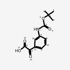 CC(C)(C)OC(=O)Nc1cccc(C(=O)C(=O)O)c1